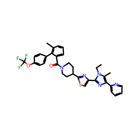 CCn1c(-c2csc(C3CCN(C(=O)c4cccc(C)c4-c4ccc(OC(F)(F)F)cc4)CC3)n2)nc(-c2ccccn2)c1C